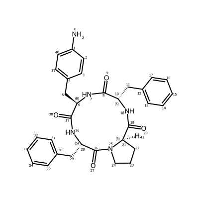 Nc1ccc(C[C@H]2NC(=O)[C@H](Cc3ccccc3)NC(=O)[C@H]3CCCN3C(=O)[C@H](Cc3ccccc3)NC2=O)cc1